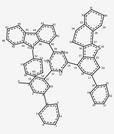 Cc1cc(-c2ccccc2)cc(-c2nc(-c3cc(-c4ccccc4)cc4sc5c6ccccc6ccc5c34)nc(-c3cccc4c5ccccc5n(-c5ccccc5)c34)n2)c1